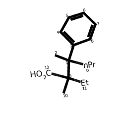 CCCC(C)(c1ccccc1)C(C)(CC)C(=O)O